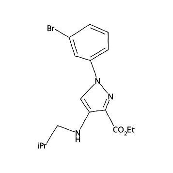 CCOC(=O)c1nn(-c2cccc(Br)c2)cc1NCC(C)C